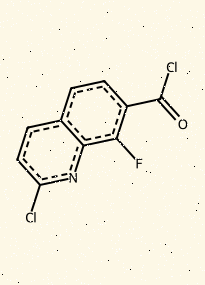 O=C(Cl)c1ccc2ccc(Cl)nc2c1F